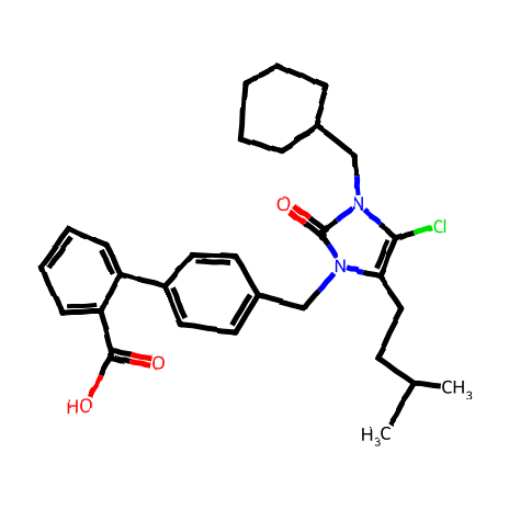 CC(C)CCc1c(Cl)n(CC2CCCCC2)c(=O)n1Cc1ccc(-c2ccccc2C(=O)O)cc1